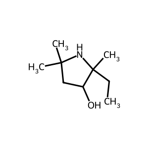 CCC1(C)NC(C)(C)CC1O